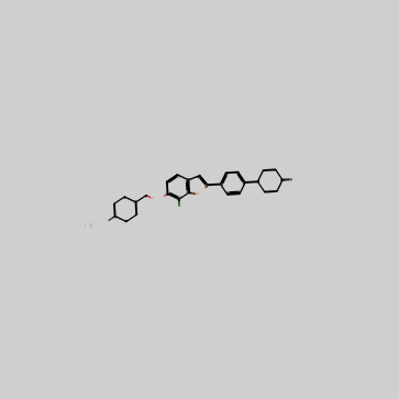 CCCC1CCC(COc2ccc3cc(-c4ccc(C5CCC(CCC)CC5)cc4)sc3c2F)CC1